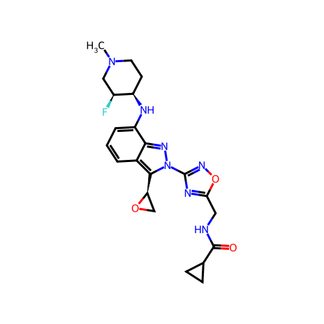 CN1CC[C@@H](Nc2cccc3c([C@H]4CO4)n(-c4noc(CNC(=O)C5CC5)n4)nc23)[C@@H](F)C1